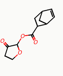 O=C1CCOC1OC(=O)C1CC2C=CC1C2